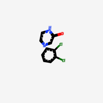 Clc1ccccc1Cl.O=c1cncc[nH]1